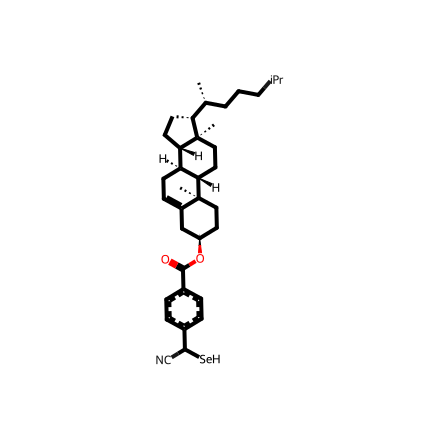 CC(C)CCC[C@@H](C)[C@H]1CC[C@H]2[C@@H]3CC=C4C[C@H](OC(=O)c5ccc(C([SeH])C#N)cc5)CC[C@]4(C)[C@H]3CC[C@]12C